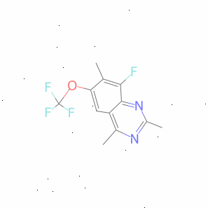 Cc1nc(C)c2cc(OC(F)(F)F)c(C)c(F)c2n1